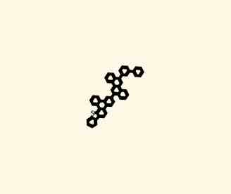 c1ccc(-c2cccc(-c3cc4c5ccccc5c(-c5ccc6c(c5)c5ccccc5c5c6ccc6c7ccccc7sc65)cc4c4ccccc34)c2)cc1